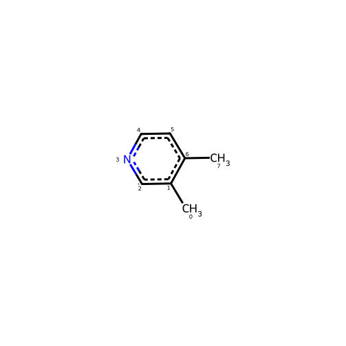 Cc1[c]nccc1C